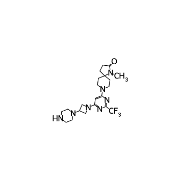 CN1C(=O)CCC12CCN(c1cc(N3CC(N4CCNCC4)C3)nc(C(F)(F)F)n1)CC2